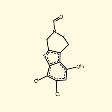 O=CN1CCc2c(sc3c(Cl)c(Cl)cc(O)c23)C1